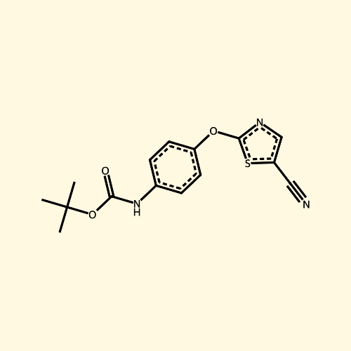 CC(C)(C)OC(=O)Nc1ccc(Oc2ncc(C#N)s2)cc1